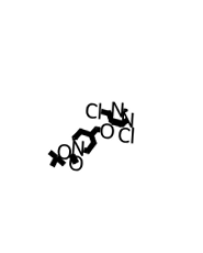 CC(C)(C)OC(=O)N1CCC(COc2c(Cl)ncnc2Cl)CC1